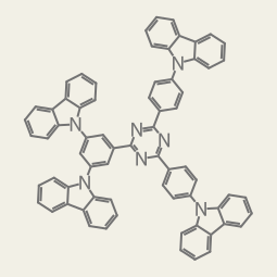 c1ccc2c(c1)c1ccccc1n2-c1ccc(-c2nc(-c3ccc(-n4c5ccccc5c5ccccc54)cc3)nc(-c3cc(-n4c5ccccc5c5ccccc54)cc(-n4c5ccccc5c5ccccc54)c3)n2)cc1